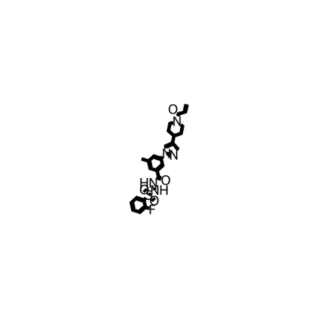 C=CC(=O)N1CCC(c2cnn(-c3cc(C)cc(C(=O)NNS(=O)(=O)c4ccccc4F)c3)c2)CC1